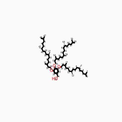 CC(C)CCC[C@@H](C)CCC[C@@H](C)CCCC(C)CCOc1cc(CO)cc(OCCC(C)CCC[C@H](C)CCC[C@H](C)CCCC(C)C)c1OCCC(C)CCC[C@H](C)CCC[C@H](C)CCCC(C)C